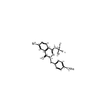 COc1ccc(Cn2nc(OC(F)(F)Br)c3ccc(Br)cc3c2=O)cc1